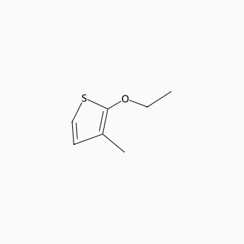 CCOc1sccc1C